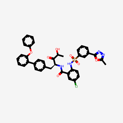 Cc1nnc(-c2cccc(S(=O)(=O)Nc3ccc(Cl)cc3C(=O)N[C@@H](Cc3ccc(-c4ccccc4Oc4ccccc4)cc3)C(=O)C(C)O)c2)o1